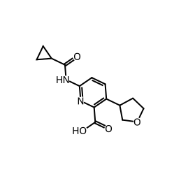 O=C(O)c1nc(NC(=O)C2CC2)ccc1C1CCOC1